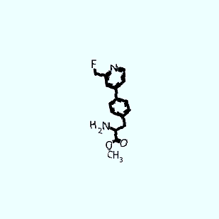 COC(=O)C(N)Cc1ccc(-c2ccnc(CF)c2)cc1